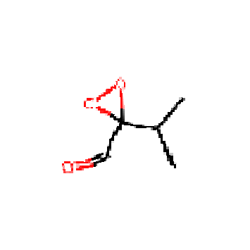 CC(C)C1([C]=O)OO1